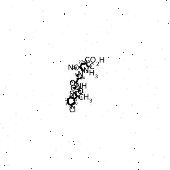 Cc1nc(N2CC(C(=O)NS(=O)(=O)c3sc4ccc(Cl)cc4c3C)C2)c(C#N)cc1C(=O)O